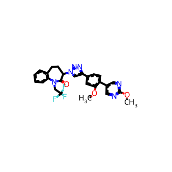 COc1ncc(-c2ccc(-c3cn(C4CCc5ccccc5N(CC(F)(F)F)C4=O)nn3)cc2OC)cn1